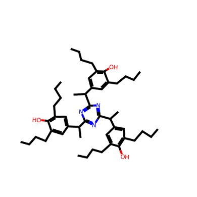 CCCCc1cc(C(C)c2nc(C(C)c3cc(CCCC)c(O)c(CCCC)c3)nc(C(C)c3cc(CCCC)c(O)c(CCCC)c3)n2)cc(CCCC)c1O